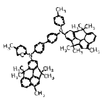 CC1=C2C=CC=C3C2C2C(=C1)C(C)(C)C1=CC(N(c4ccc(C)cc4)c4ccc(-c5ccc(N(c6ccc(C)cc6)c6cc7c8c(c6)C(C)(C)c6cccc9c(C)cc(c-8c69)C7(C)C)cc5)cc4)CC(=C12)C3(C)C